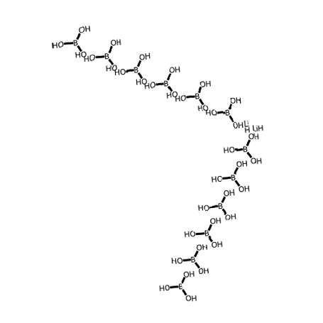 OB(O)O.OB(O)O.OB(O)O.OB(O)O.OB(O)O.OB(O)O.OB(O)O.OB(O)O.OB(O)O.OB(O)O.OB(O)O.OB(O)O.[LiH].[LiH]